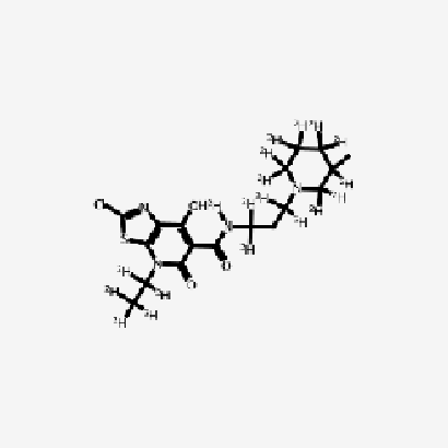 [2H]N(C(=O)c1c(O)c2nc(Cl)sc2n(C([2H])([2H])C([2H])([2H])[2H])c1=O)C([2H])([2H])CC([2H])([2H])N1C([2H])([2H])C([2H])([2H])C([2H])([2H])C([2H])(C)C1([2H])[2H]